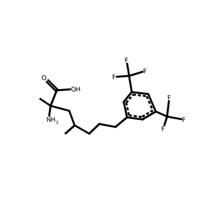 CC(CCCc1cc(C(F)(F)F)cc(C(F)(F)F)c1)CC(C)(N)C(=O)O